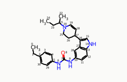 CCc1ccc(NC(=O)Nc2ccc3[nH]cc(C4C=CN(C(C)CC)CC4)c3c2)cc1